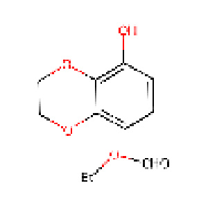 CCOC=O.Oc1cccc2c1OCCO2